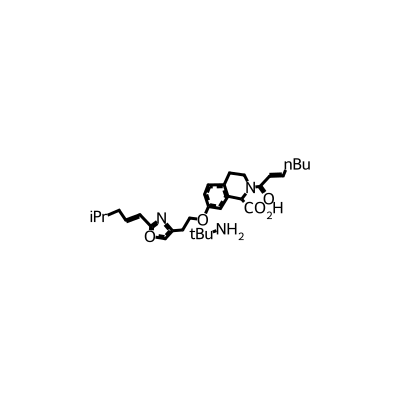 CC(C)(C)N.CCCCC=CC(=O)N1CCc2ccc(OCCc3coc(/C=C/CC(C)C)n3)cc2C1C(=O)O